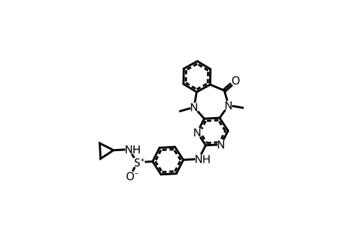 CN1C(=O)c2ccccc2N(C)c2nc(Nc3ccc([S+]([O-])NC4CC4)cc3)ncc21